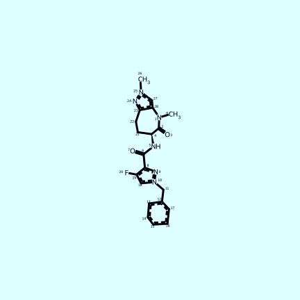 CN1C(=O)[C@@H](NC(=O)c2nn(Cc3ccccc3)cc2F)CCc2nn(C)cc21